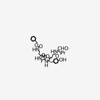 CC(NC(=O)CCNC(=O)OCc1ccccc1)C(=O)N[C@@H](Cc1ccc(O)cc1)[C@@H](O)CCC(=O)NC([C]=O)C(C)C